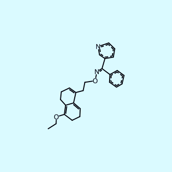 CCOC1=C2CCC=C(CCO/N=C(\c3ccccc3)c3cccnc3)C2=CCC1